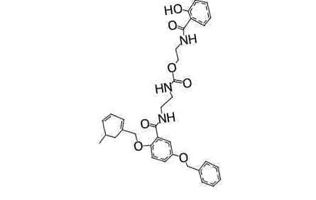 CC1C=CC=C(COc2ccc(OCc3ccccc3)cc2C(=O)NCCNC(=O)OCCNC(=O)c2ccccc2O)C1